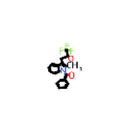 Cc1c(CC(=O)C(F)(F)F)c2ccccc2n1C(=O)c1ccccc1